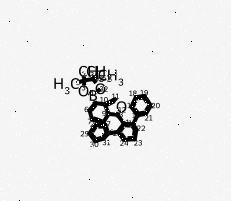 CC1(C)OB(C2=CC=CC3C2=COC3c2c(-c3ccccc3)cccc2-c2ccccc2)OC1(C)C